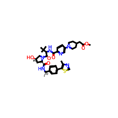 COC(=O)CC1CCN(c2ccc(C(=O)NC(C(=O)N3C[C@H](O)C[C@H]3C(=O)N[C@@H](C)c3ccc(-c4scnc4C)cc3)C(C)(C)C)nc2)CC1